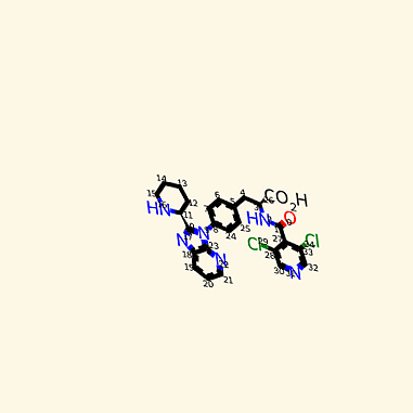 O=C(N[C@@H](Cc1ccc(-n2c([C@@H]3CCCCN3)nc3cccnc32)cc1)C(=O)O)c1c(Cl)cncc1Cl